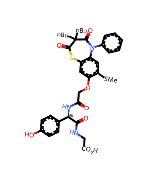 CCCCC1(CCCC)C(=O)Sc2cc(OCC(=O)N[C@@H](C(=O)NCC(=O)O)c3ccc(O)cc3)c(SC)cc2N(c2ccccc2)C1=O